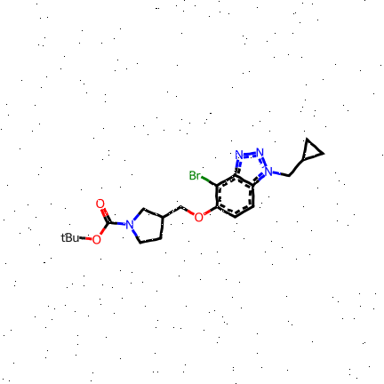 CC(C)(C)OC(=O)N1CCC(COc2ccc3c(nnn3CC3CC3)c2Br)C1